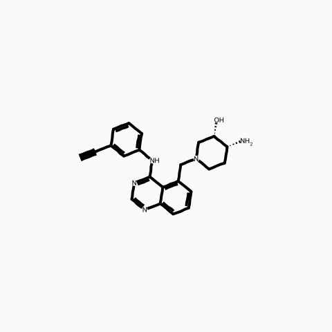 C#Cc1cccc(Nc2ncnc3cccc(CN4CC[C@@H](N)[C@@H](O)C4)c23)c1